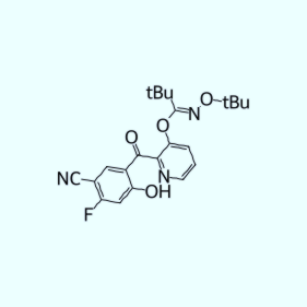 CC(C)(C)ON=C(Oc1cccnc1C(=O)c1cc(C#N)c(F)cc1O)C(C)(C)C